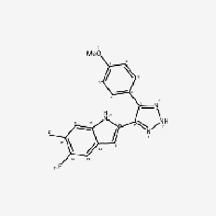 COc1ccc(-c2n[nH]nc2-c2cc3cc(F)c(C)cc3[nH]2)cc1